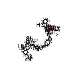 Cc1ncoc1-c1ccc([C@H](C)NC(=O)[C@@H]2C[C@@H](O)CN2C(=O)[C@@H](c2cc(OCCN3CCC(O[C@H]4C[C@H](Oc5cc(N6C7CCC6CN(c6cc(-c8ccccc8O)nnc6N)C7)ccn5)C4)CC3)no2)C(C)C)cc1